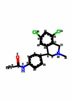 CCCC(=O)Nc1ccc(C2CN(C)Cc3c(Cl)cc(Cl)cc32)cc1